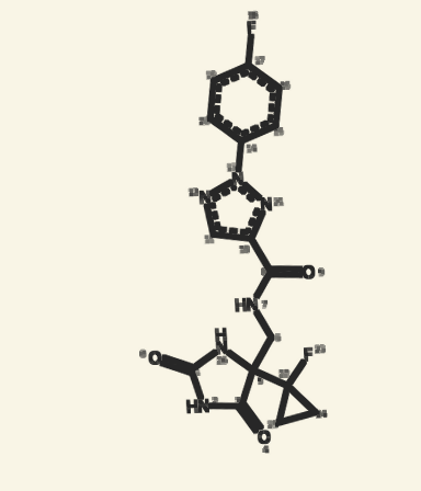 O=C1NC(=O)C(CNC(=O)c2cnn(-c3ccc(F)cc3)n2)(C2(F)CC2)N1